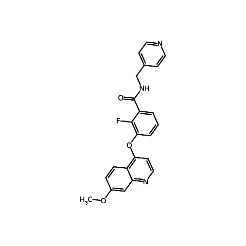 COc1ccc2c(Oc3cccc(C(=O)NCc4ccncc4)c3F)ccnc2c1